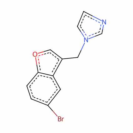 Brc1ccc2occ(Cn3ccnc3)c2c1